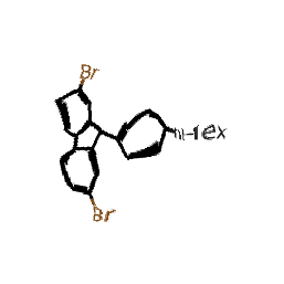 CCCCCCc1ccc(C2c3cc(Br)ccc3-c3ccc(Br)cc32)cc1